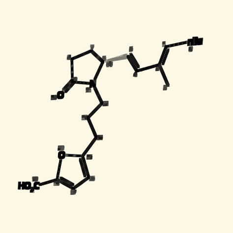 CCCCC=C(C)C=C[C@H]1CCC(=O)N1CCCc1ccc(C(=O)O)o1